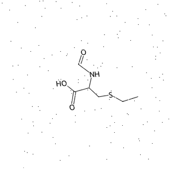 CCSCC(NC=O)C(=O)O